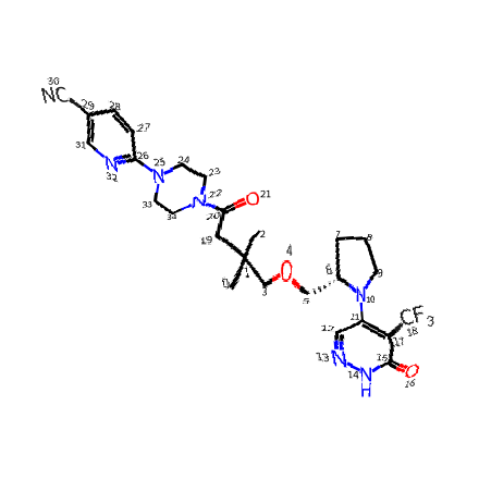 CC(C)(COC[C@@H]1CCCN1c1cn[nH]c(=O)c1C(F)(F)F)CC(=O)N1CCN(c2ccc(C#N)cn2)CC1